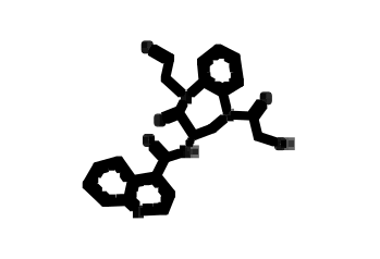 O=CCN1C(=O)[C@@H](NC(=O)c2ccnc3ccccc23)CN(C(=O)CO)c2ccccc21